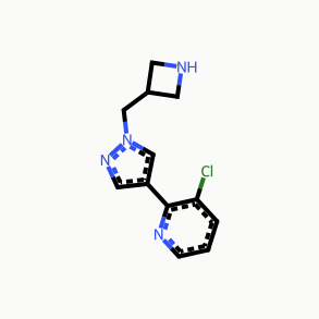 Clc1cccnc1-c1cnn(CC2CNC2)c1